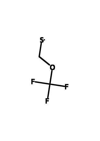 FC(F)(F)OC[S]